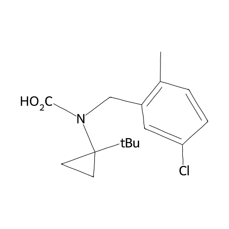 Cc1ccc(Cl)cc1CN(C(=O)O)C1(C(C)(C)C)CC1